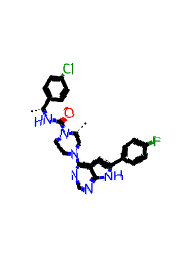 C[C@@H]1CN(c2ncnc3[nH]c(-c4ccc(F)cc4)cc23)CCN1C(=O)N[C@H](C)c1ccc(Cl)cc1